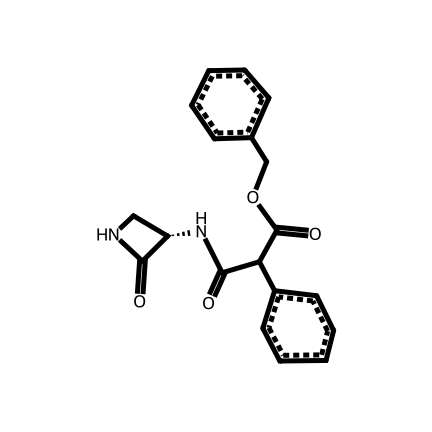 O=C(N[C@H]1CNC1=O)C(C(=O)OCc1ccccc1)c1ccccc1